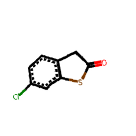 O=C1Cc2ccc(Cl)cc2S1